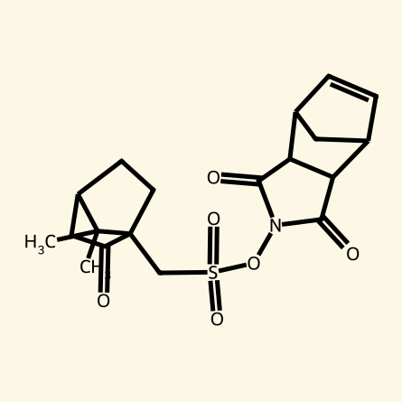 CC1(C)C2CCC1(CS(=O)(=O)ON1C(=O)C3C4C=CC(C4)C3C1=O)C(=O)C2